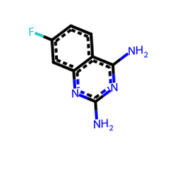 Nc1nc(N)c2ccc(F)cc2n1